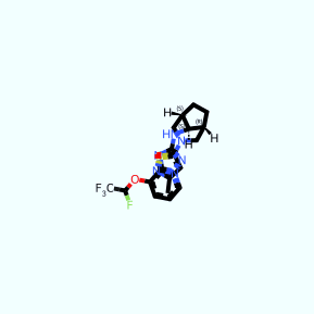 Cc1cc(N2C[C@H]3CC[C@@H](C2)[C@@H]3Nc2nc3c(OC(F)C(F)(F)F)cccn3n2)sn1